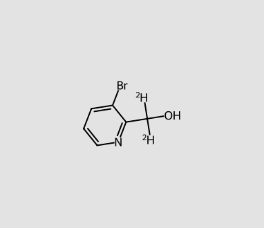 [2H]C([2H])(O)c1ncccc1Br